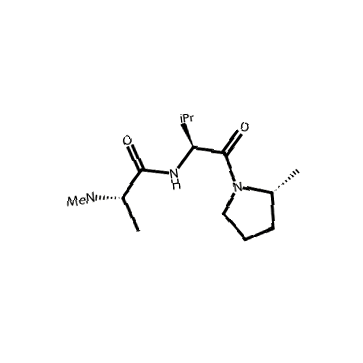 CN[C@@H](C)C(=O)N[C@H](C(=O)N1CCC[C@H]1C)C(C)C